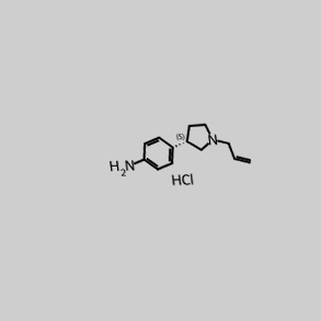 C=CCN1CC[C@@H](c2ccc(N)cc2)C1.Cl